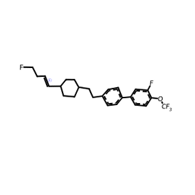 FCC/C=C/C1CCC(CCc2ccc(-c3ccc(OC(F)(F)F)c(F)c3)cc2)CC1